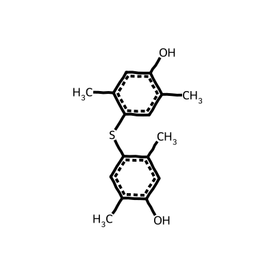 Cc1cc(Sc2cc(C)c(O)cc2C)c(C)cc1O